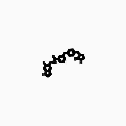 O=C(NCc1cc2cc[nH]c2cc1F)c1cncc(Cc2ccc(CN3CCNC3=O)cc2)c1